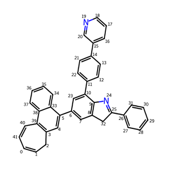 C1=CCc2cc(-c3cc4c(c(-c5ccc(-c6cccnc6)cc5)c3)N=C(c3ccccc3)C4)c3ccccc3c2C=C1